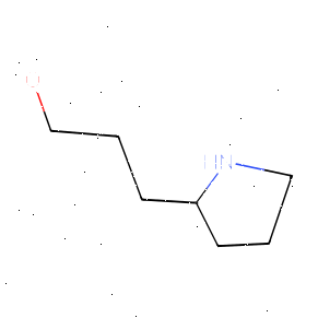 [O]CCCC1CCCN1